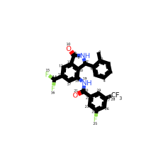 Cc1ccccc1C1NC(=O)c2cc(C(F)F)cc(NC(=O)c3cc(F)cc(C(F)(F)F)c3)c21